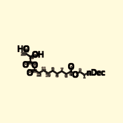 CCCCCCCCCCCCOC(=O)CCCCCCCC(=O)OC(=O)C(O)CO